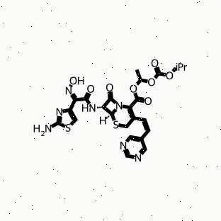 CC(C)OC(=O)OC(C)OC(=O)C1=C(/C=C\c2cncnc2)CS[C@H]2[C@H](NC(=O)/C(=N\O)c3csc(N)n3)C(=O)N12